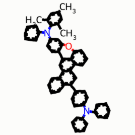 Cc1cc(C)c(N(c2ccccc2)c2ccc3c(c2)Oc2cccc4c2c-3cc2c3ccccc3c(-c3ccc(N(c5ccccc5)c5ccccc5)cc3)cc42)c(C)c1